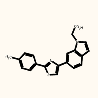 Cc1ccc(-c2nc(-c3ccc4ccn(CC(=O)O)c4c3)cs2)cc1